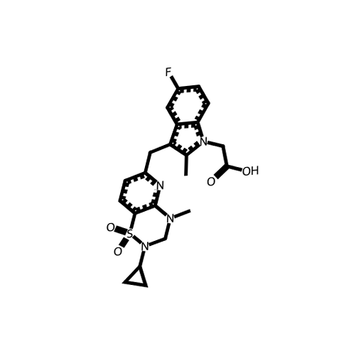 Cc1c(Cc2ccc3c(n2)N(C)CN(C2CC2)S3(=O)=O)c2cc(F)ccc2n1CC(=O)O